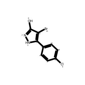 Oc1n[nH]c(-c2ccc(Cl)cc2)c1Br